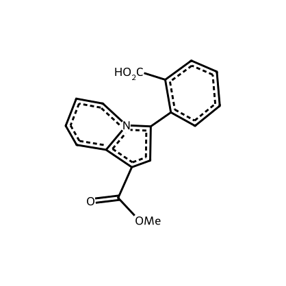 COC(=O)c1cc(-c2ccccc2C(=O)O)n2ccccc12